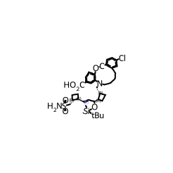 CC(C)(C)[Si](C)(C)OC(/C=C/[C@@H]1CC[C@H]1CS(N)(=O)=O)[C@@H]1CC[C@H]1CN1CCCCc2cc(Cl)ccc2COc2ccc(C(=O)O)cc21